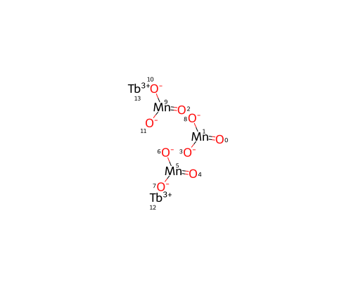 [O]=[Mn]([O-])[O-].[O]=[Mn]([O-])[O-].[O]=[Mn]([O-])[O-].[Tb+3].[Tb+3]